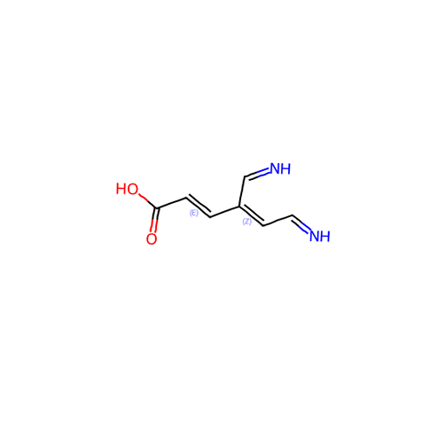 N=C/C=C(C=N)/C=C/C(=O)O